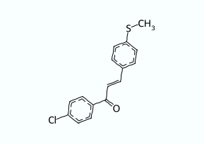 CSc1ccc(C=CC(=O)c2ccc(Cl)cc2)cc1